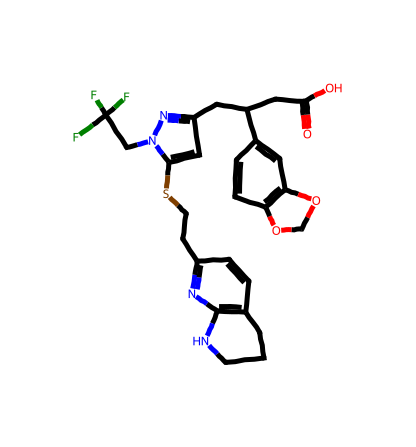 O=C(O)CC(Cc1cc(SCCc2ccc3c(n2)NCCC3)n(CC(F)(F)F)n1)c1ccc2c(c1)OCO2